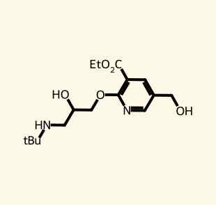 CCOC(=O)c1cc(CO)cnc1OCC(O)CNC(C)(C)C